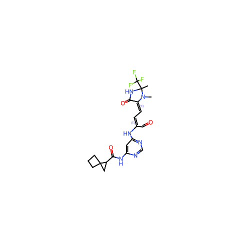 CN1/C(=C/C=C(\C=O)Nc2cc(NC(=O)C3CC34CCC4)ncn2)C(=O)NC1(C)C(F)(F)F